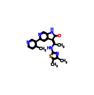 CC(Nc1nc(C)c(C)s1)=C1C(=O)Nc2cnc(-c3cnccc3C)cc21